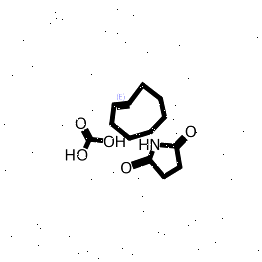 C1=C/CCCCCC/1.O=C(O)O.O=C1CCC(=O)N1